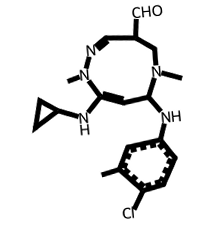 Cc1cc(NC2/C=C(/NC3CC3)N(C)/N=C\C(C=O)CN2C)ccc1Cl